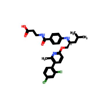 Cc1nc(OC[C@H](CC(C)C)Nc2ccc(C(=O)NCCC(=O)O)cc2)ccc1-c1ccc(Cl)cc1Cl